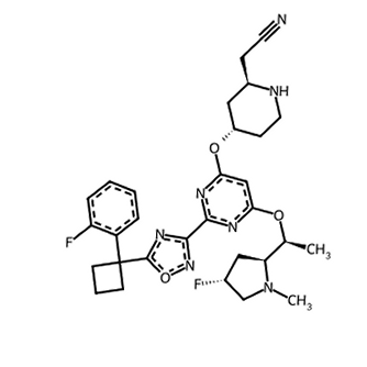 C[C@H](Oc1cc(O[C@H]2CCN[C@H](CC#N)C2)nc(-c2noc(C3(c4ccccc4F)CCC3)n2)n1)[C@@H]1C[C@@H](F)CN1C